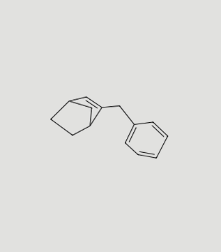 C1=C(Cc2ccccc2)C2CCC1C2